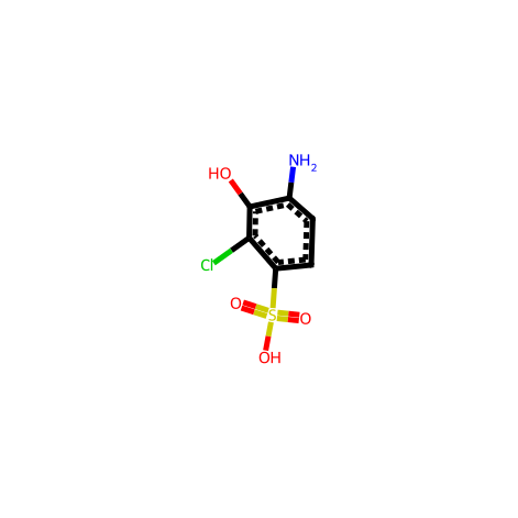 Nc1ccc(S(=O)(=O)O)c(Cl)c1O